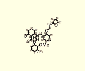 COc1c(F)cccc1NC(=S)C1=C(NCc2ccncc2OCCc2ccco2)CCCC1=O